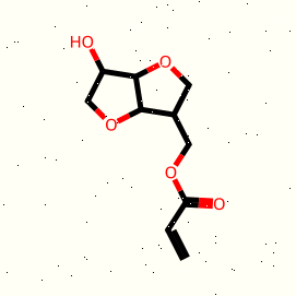 C=CC(=O)OCC1COC2C(O)COC12